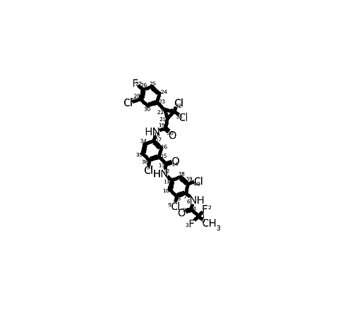 CC(F)(F)C(=O)Nc1c(Cl)cc(NC(=O)c2cc(NC(=O)C3C(c4ccc(F)c(Cl)c4)C3(Cl)Cl)ccc2Cl)cc1Cl